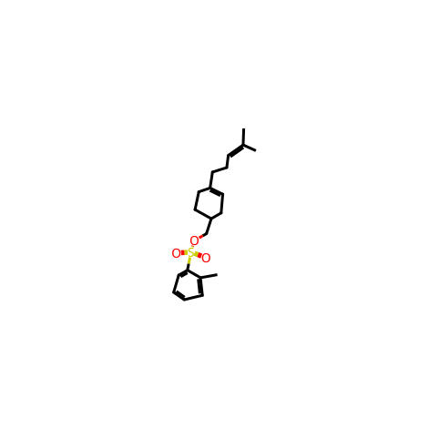 CC(C)=CCCC1=CCC(COS(=O)(=O)c2ccccc2C)CC1